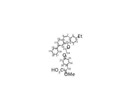 CCc1ccc2c(c1)C=Cc1ccc(-c3ccccc3)cc1C2OCCOc1ccc(CC(OC)C(=O)O)cc1